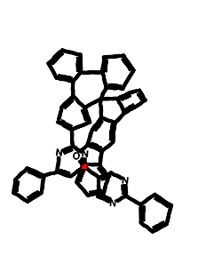 c1ccc(-c2cc(-c3cnc(-c4ccccc4)nc3)nc(-c3ccc4c(c3)C3(c5ccccc5-c5ccccc5-4)c4ccccc4-c4cc5c(cc43)oc3ccccc35)n2)cc1